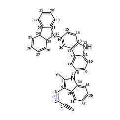 C#C/C=C\c1c(C)n(-c2ccc3[nH]c4ccc(N5c6ccccc6C6C=CC=CC65)cc4c3c2)c2ccccc12